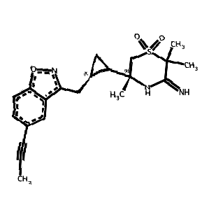 CC#Cc1ccc2onc(C[C@H]3CC3[C@]3(C)CS(=O)(=O)C(C)(C)C(=N)N3)c2c1